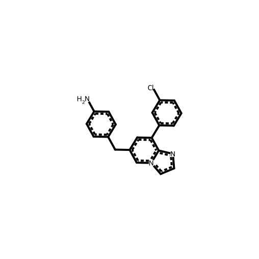 Nc1ccc(Cc2cc(-c3cccc(Cl)c3)c3nccn3c2)cc1